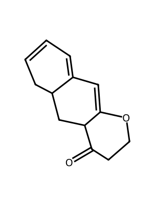 O=C1CCOC2=CC3=CC=CCC3CC12